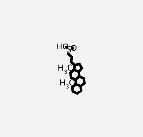 CC12CCCCC1CCC1C2CCC2(C)C(CCCS(=O)O)CCC12